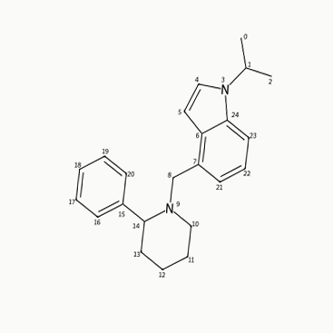 CC(C)n1ccc2c(CN3CCCCC3c3ccccc3)cccc21